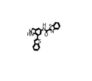 O=C(Nc1cc(-c2cc3ccccc3s2)c2[nH]ncc2c1)c1nc2ccccc2s1